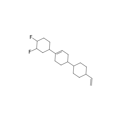 C=CC1CCC(C2CC=C(C3CCC(F)C(F)C3)CC2)CC1